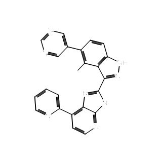 Fc1c(-c2cncnc2)ccc2[nH]nc(-c3nc4c(-c5ccccn5)ccnc4[nH]3)c12